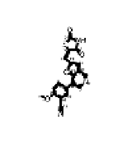 COc1ccc(-c2cncc3cc(C=C4SC(=O)NC4=O)oc23)cc1C#N